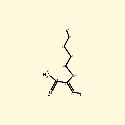 CC=C(NCCCCC)C(N)=O